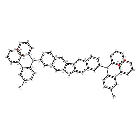 CC(C)c1ccc(N(c2ccccc2)c2ccc3cc4c(cc3c2)oc2cc3cc(N(c5ccccc5)c5ccc(C(C)C)cc5-c5ccccc5)ccc3cc24)c(-c2ccccc2)c1